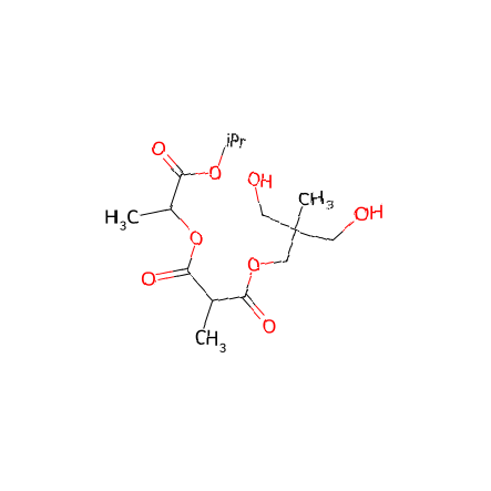 CC(C)OC(=O)C(C)OC(=O)C(C)C(=O)OCC(C)(CO)CO